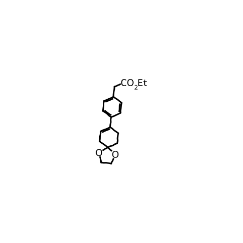 CCOC(=O)Cc1ccc(C2=CCC3(CC2)OCCO3)cc1